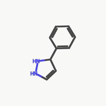 C1=CC(c2ccccc2)NN1